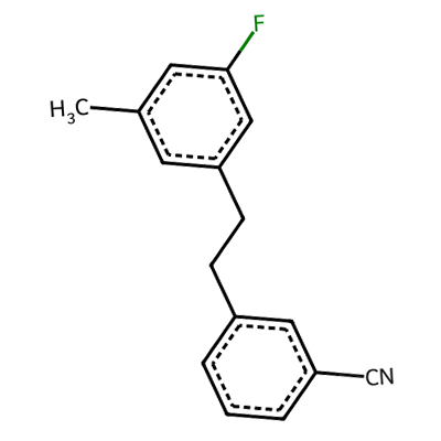 Cc1cc(F)cc(CCc2cccc(C#N)c2)c1